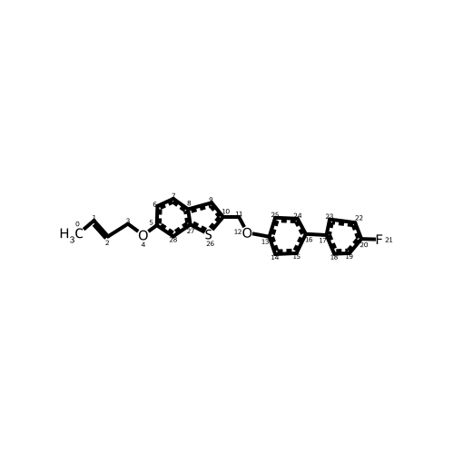 C/C=C/COc1ccc2cc(COc3ccc(-c4ccc(F)cc4)cc3)sc2c1